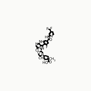 C[C@H]1CO[C@@H](c2nc(-c3ccc(C(=O)Nc4cc(C(F)F)ccn4)cc3F)c3c(N)ncc(Cl)n23)CN1C1CCC(C)(C(=O)O)CC1